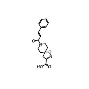 O=C(O)C1=NOC2(CCN(C(=O)C=Cc3ccccc3)CC2)C1